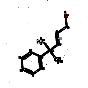 CC(C)(/C=C/CBr)c1ccccc1